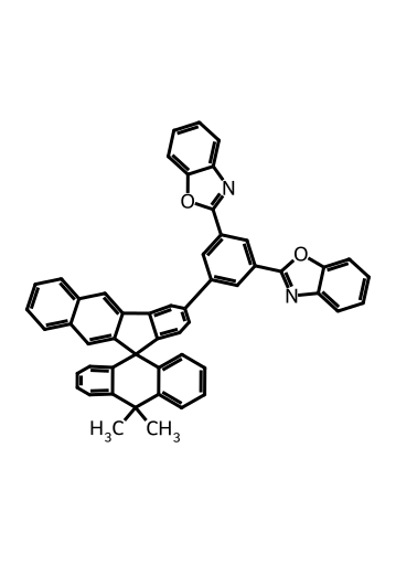 CC1(C)c2ccccc2C2(c3ccc(-c4cc(-c5nc6ccccc6o5)cc(-c5nc6ccccc6o5)c4)cc3-c3cc4ccccc4cc32)c2ccccc21